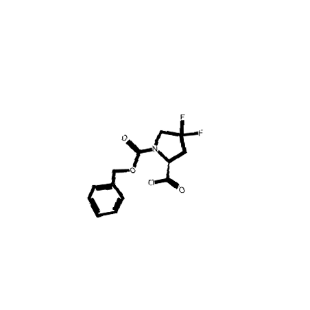 O=C(Cl)[C@@H]1CC(F)(F)CN1C(=O)OCc1ccccc1